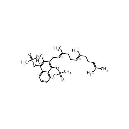 CC(C)=CCC/C(C)=C/CC/C(C)=C/Cc1c(C)c(OP(C)(C)=O)c2ccccc2c1OP(C)(C)=O